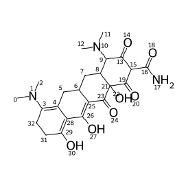 CN(C)C1=C2CC3CC4C(N(C)C)C(=O)C(C(N)=O)C(=O)C4(O)C(=O)C3=C(O)C2=C(O)CC1